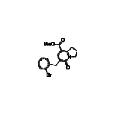 COC(=O)c1cc(Cc2ccccc2Br)c(=O)n2c1CCC2